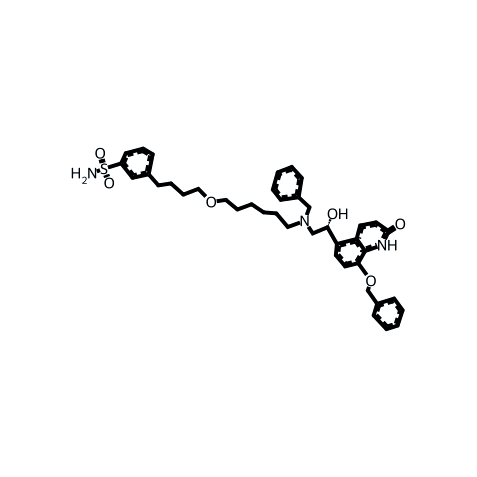 NS(=O)(=O)c1cccc(CCCCOCCCCCCN(Cc2ccccc2)C[C@H](O)c2ccc(OCc3ccccc3)c3[nH]c(=O)ccc23)c1